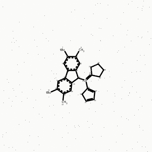 Cc1cc2c(cc1C(C)(C)C)-c1cc(C(C)(C)C)c(C)cc1[CH]2[Zr]([C]1=CC=CC1)=[C]1CCCC1